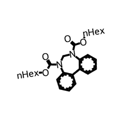 CCCCCCOC(=O)N1CN(C(=O)OCCCCCC)c2ccccc2-c2ccccc21